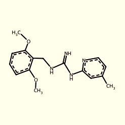 COc1cccc(OC)c1CNC(=N)Nc1cc(C)ccn1